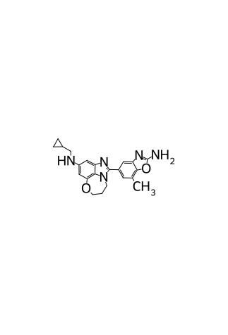 Cc1cc(-c2nc3cc(NCC4CC4)cc4c3n2CCCO4)cc2nc(N)oc12